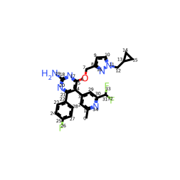 Cc1cc(-c2c(OCc3ccn(CC4CC4)n3)nc(N)nc2-c2ccc(F)cc2)cc(C(F)F)n1